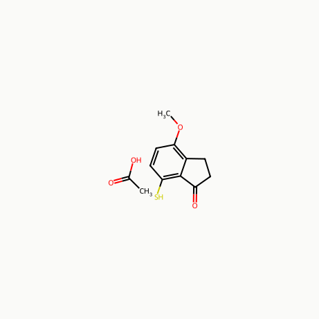 CC(=O)O.COc1ccc(S)c2c1CCC2=O